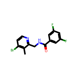 Cc1c(Br)ccnc1CNC(=O)c1cc(F)cc(F)c1